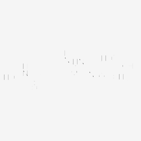 CNC(=O)c1ccc(NC(=O)Nc2cc(C(C)(C)C)on2)cc1